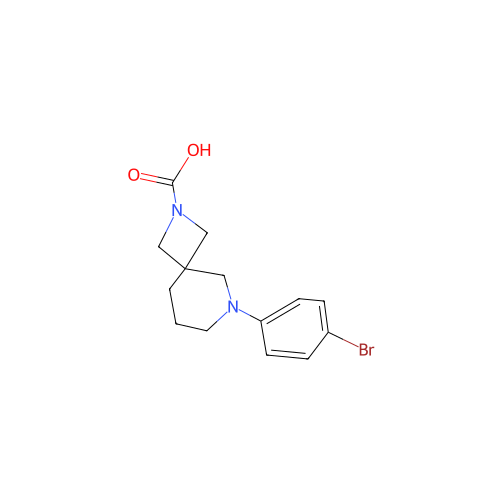 O=C(O)N1CC2(CCCN(c3ccc(Br)cc3)C2)C1